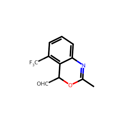 CC1=Nc2cccc(C(F)(F)F)c2C(C=O)O1